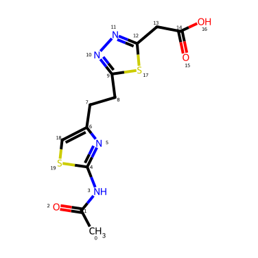 CC(=O)Nc1nc(CCc2nnc(CC(=O)O)s2)cs1